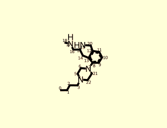 CCCCN1CCN(c2cccc3c2CC(CNC)NC3)CC1